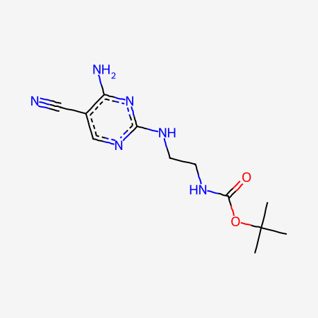 CC(C)(C)OC(=O)NCCNc1ncc(C#N)c(N)n1